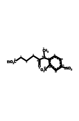 CCOC(=O)CCCC(=O)N(C)c1ccc([N+](=O)[O-])cc1[N+](=O)[O-]